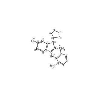 Cc1cccc(C)c1Nc1nn(C2CCCC2)c2nc(Cl)ncc12